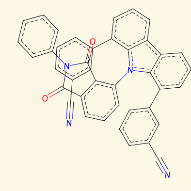 N#Cc1cccc(-c2cccc3c4cccc(-c5cccc(C#N)c5)c4n(-c4cccc5c4C(=O)N(c4ccccc4)C5=O)c23)c1